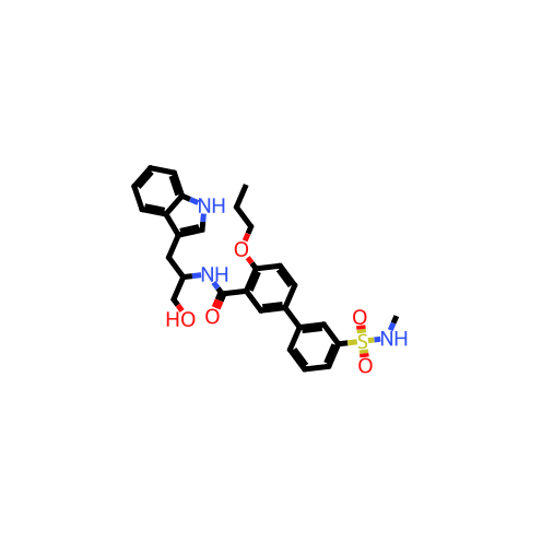 CCCOc1ccc(-c2cccc(S(=O)(=O)NC)c2)cc1C(=O)NC(CO)Cc1c[nH]c2ccccc12